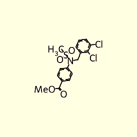 COC(=O)c1ccc(N(Cc2cccc(Cl)c2Cl)S(C)(=O)=O)cc1